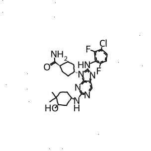 CC1(C)CC[C@@H](Nc2ncc3nc(Nc4c(F)ccc(Cl)c4F)n([C@H]4CC[C@H](C(N)=O)CC4)c3n2)C[C@H]1O